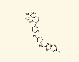 CC(C)(O)c1cccn(-c2ccc(N[C@H]3CC[C@H](Nc4nc5cc(F)ccn5n4)C3)nc2)c1=O